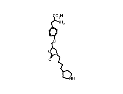 NC(Cc1ccc(OCC2CN(CCCCC3CCNCC3)C(=O)O2)cc1)C(=O)O